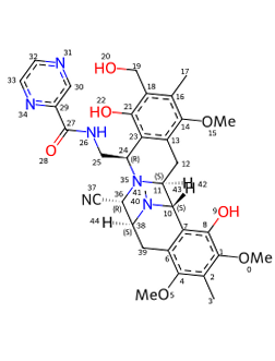 COc1c(C)c(OC)c2c(c1O)[C@H]1[C@@H]3Cc4c(OC)c(C)c(CO)c(O)c4[C@H](CNC(=O)c4cnccn4)N3[C@@H](C#N)[C@H](C2)N1C